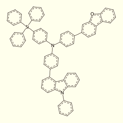 c1ccc(-n2c3ccccc3c3c(-c4ccc(N(c5ccc(-c6ccc7c(c6)oc6ccccc67)cc5)c5ccc([Si](c6ccccc6)(c6ccccc6)c6ccccc6)cc5)cc4)cccc32)cc1